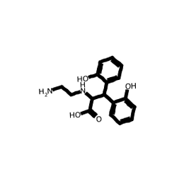 NCCNC(C(=O)O)C(c1ccccc1O)c1ccccc1O